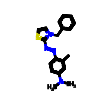 BN(B)c1ccc(/N=N/c2scc[n+]2Cc2ccccc2)c(C)c1